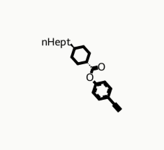 C#Cc1ccc(OC(=O)[C@H]2CC[C@H](CCCCCCC)CC2)cc1